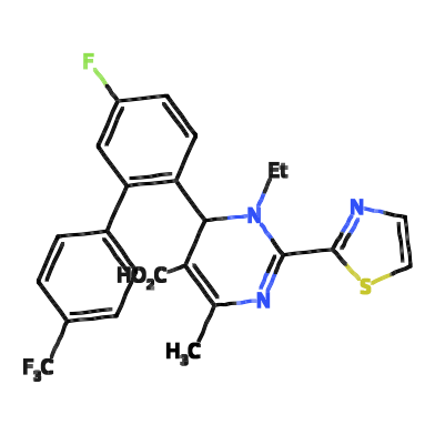 CCN1C(c2nccs2)=NC(C)=C(C(=O)O)C1c1ccc(F)cc1-c1ccc(C(F)(F)F)cc1